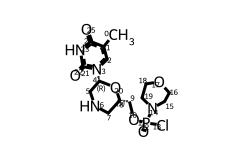 Cc1cn([C@H]2CNC[C@@H](COP(=O)(Cl)N3CCOCC3)O2)c(=O)[nH]c1=O